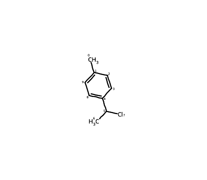 Cc1ccc(C(C)Cl)cc1